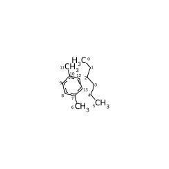 CCCCCC.Cc1ccc(C)cc1